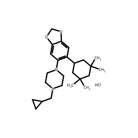 CC1(C)CC(c2cc3c(cc2N2CCN(CC4CC4)CC2)OCO3)CC(C)(C)C1.Cl